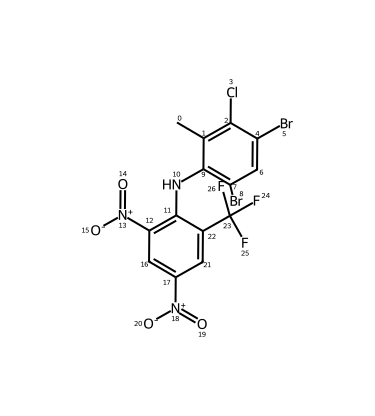 Cc1c(Cl)c(Br)cc(Br)c1Nc1c([N+](=O)[O-])cc([N+](=O)[O-])cc1C(F)(F)F